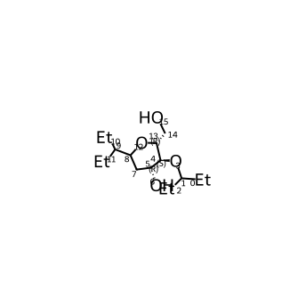 CCC(CC)O[C@H]1[C@H](O)CC(C(CC)CC)O[C@@H]1CO